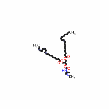 CC/C=C\C/C=C\C/C=C\CCCCCCCC(=O)OCC(COC(=O)CCCCCCC/C=C\C/C=C\CCCCC)COC(=O)NC1CN(C)C1